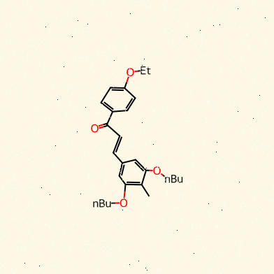 CCCCOc1cc(C=CC(=O)c2ccc(OCC)cc2)cc(OCCCC)c1C